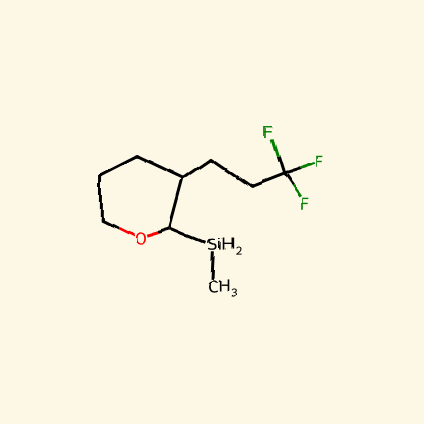 C[SiH2]C1OCCCC1CCC(F)(F)F